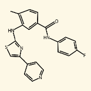 Cc1ccc(C(=O)Nc2ccc(F)cc2)cc1Nc1nc(-c2ccncc2)cs1